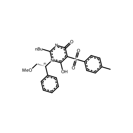 CCCCc1nc(=O)c(S(=O)(=O)c2ccc(C)cc2)c(O)n1[C@@H](COC)c1ccccc1